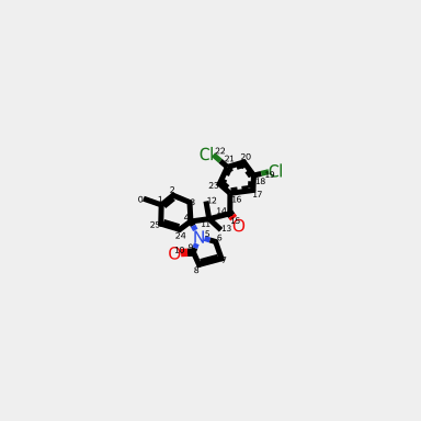 CC1=CCC(N2CC=CC2=O)(C(C)(C)C(=O)c2cc(Cl)cc(Cl)c2)C=C1